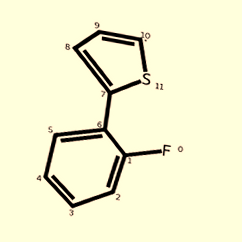 Fc1ccccc1-c1cc[c]s1